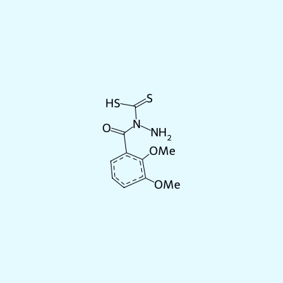 COc1cccc(C(=O)N(N)C(=S)S)c1OC